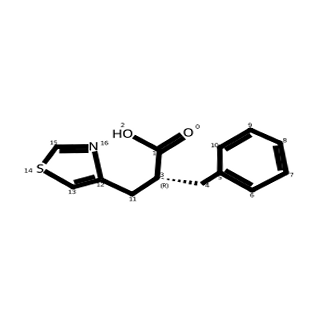 O=C(O)[C@H](Cc1ccccc1)Cc1cscn1